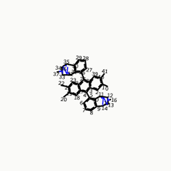 Cc1cc2c(-c3cccc4c3C3CCC4N3C)c3cc(C)c(C)cc3c(-c3cccc4c3C3CCC4N3C)c2cc1C